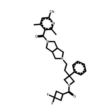 Cc1cc(C#N)nc(C)c1C(=O)N1CC2CN(CCC3(c4ccccc4)CN(C(=O)C4CC(F)(F)C4)C3)CC2C1